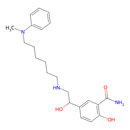 CN(CCCCCCNCC(O)c1ccc(O)c(C(N)=O)c1)c1ccccc1